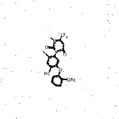 CC(=O)Oc1ccccc1Oc1cc(-n2c(=O)cc(C(F)(F)F)n(C)c2=O)c(F)cc1C#N